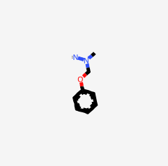 CN([N])COc1ccccc1